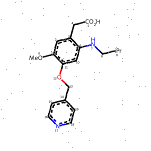 COc1cc(CC(=O)O)c(NCC(C)C)cc1OCc1ccncc1